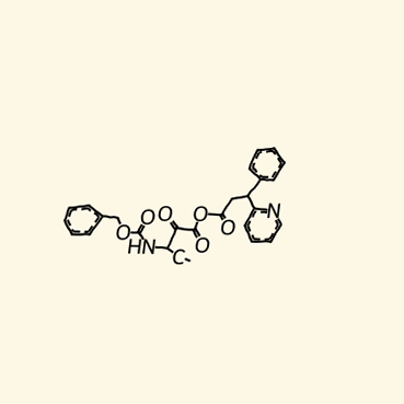 CCC(NC(=O)OCc1ccccc1)C(=O)C(=O)OC(=O)CC(c1ccccc1)c1ccccn1